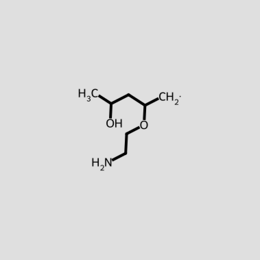 [CH2]C(CC(C)O)OCCN